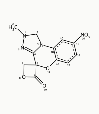 CN1CN2C(=N1)C1(COC1=O)Oc1ccc([N+](=O)[O-])cc12